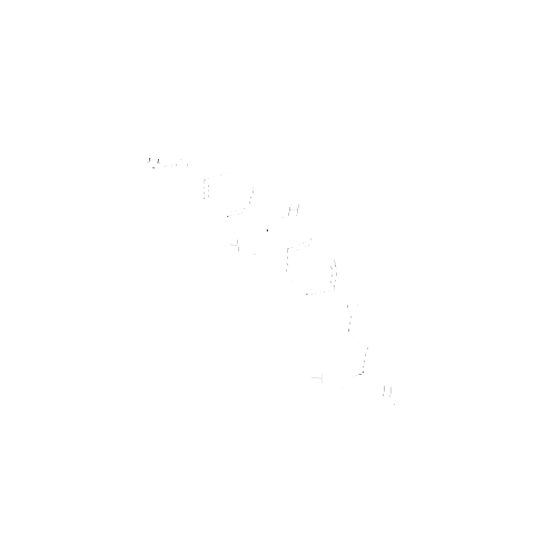 C=C(C)CCOc1ccc(C(C)(C)c2ccc(OC)cc2)cc1